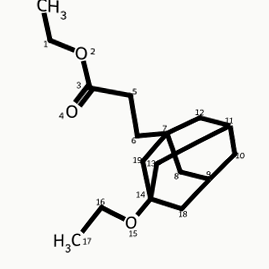 CCOC(=O)CCC12CC3CC(C1)CC(OCC)(C3)C2